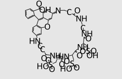 O=C1CC/N=c2/ccc3c(c2)Oc2cc(ccc2C=3c2ccccc2C(=O)O)NCCC(=O)NC(CS(=O)(=O)O)C(=O)NC(CS(=O)(=O)O)C(=O)NC(CS(=O)(=O)O)C(=O)NCCN1